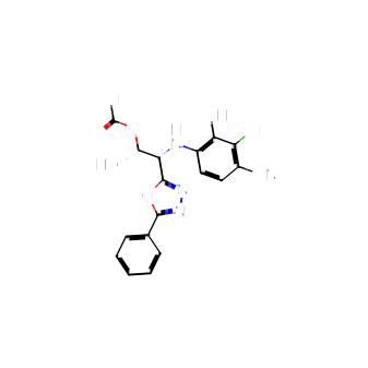 CCC(=O)O[C@@H](C)[C@@H](Nc1ccc(C#N)c(Cl)c1C)c1nnc(-c2ccccc2)o1